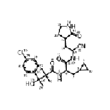 CC(C)(C(=O)NC(CC1CC1)C(=O)NC(C#N)CC1CCNC1=O)C(C)(O)c1ccc(Cl)cc1